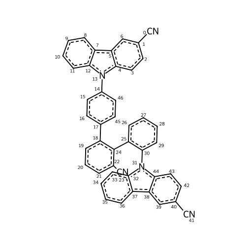 N#Cc1ccc2c(c1)c1ccccc1n2-c1ccc(-c2cccc(C#N)c2-c2ccccc2-n2c3ccccc3c3cc(C#N)ccc32)cc1